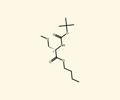 CCCCOC(=O)[C@H](COC)NC(=O)OC(C)(C)C